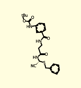 CC(C)(C)OC(=O)Nc1cccc(C(=O)NCCC(=O)N[C@@H](C#N)SCc2ccccc2)c1